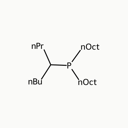 CCCCCCCCP(CCCCCCCC)C(CCC)CCCC